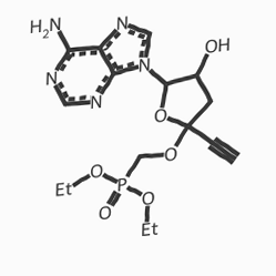 C#CC1(OCP(=O)(OCC)OCC)CC(O)C(n2cnc3c(N)ncnc32)O1